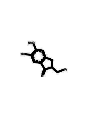 COc1cc2c(cc1C(C)(C)C)C(=O)C(CC(C)C)C2